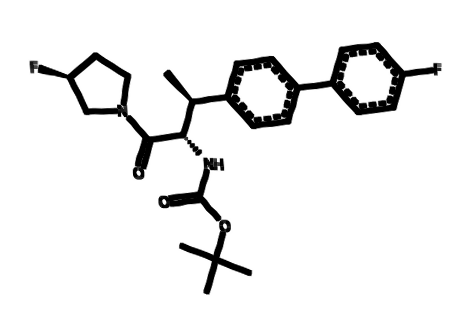 C[C@@H](c1ccc(-c2ccc(F)cc2)cc1)[C@H](NC(=O)OC(C)(C)C)C(=O)N1CC[C@H](F)C1